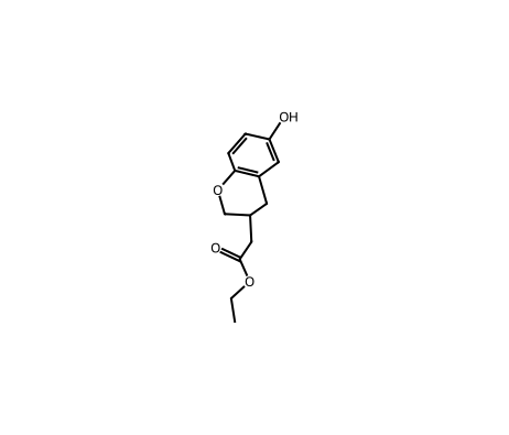 CCOC(=O)CC1COc2ccc(O)cc2C1